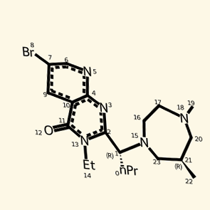 CCC[C@H](c1nc2ncc(Br)cc2c(=O)n1CC)N1CCN(C)C[C@@H](C)C1